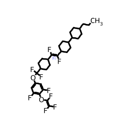 CCCC1CCC(C2CCC(/C(F)=C(\F)C3CCC(C(F)(F)Oc4cc(F)c(OC(F)=C(F)F)c(F)c4)CC3)CC2)CC1